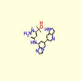 C=C(/C=C(\N(C)N)C(C)(C)O)Nc1cc(-c2cnc3cc[nH]c3c2)cn2ccnc12